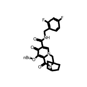 CCCCOc1c2n(cc(C(=O)NCc3ccc(F)cc3F)c1=O)CC13CCC(CC1)N3C2=O